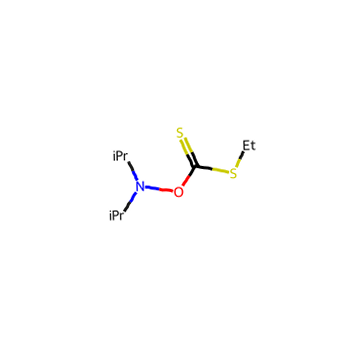 CCSC(=S)ON(C(C)C)C(C)C